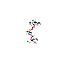 CC(C)(C)OC(=O)N1CC(OCCO[Si](C)(C)C(C)(C)C)(C(F)(F)F)C1